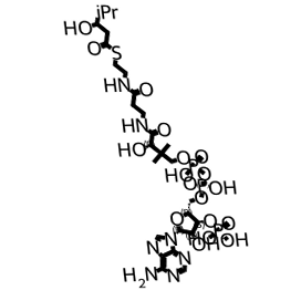 CC(C)C(O)CC(=O)SCCNC(=O)CCNC(=O)[C@H](O)C(C)(C)COP(=O)(O)OP(=O)(O)OC[C@H]1O[C@@H](n2cnc3c(N)ncnc32)[C@H](O)[C@@H]1OP(=O)(O)O